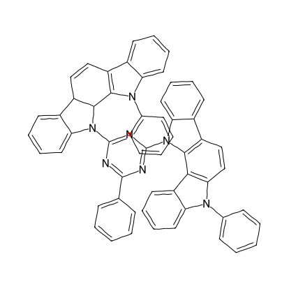 C1=CC2c3ccccc3N(c3nc(-c4ccccc4)nc(-n4c5ccccc5c5ccc6c(c7ccccc7n6-c6ccccc6)c54)n3)C2c2c1c1ccccc1n2-c1ccccc1